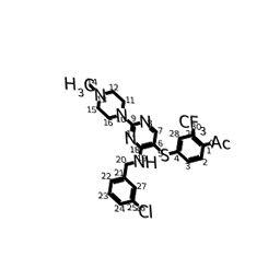 CC(=O)c1ccc(Sc2cnc(N3CCN(C)CC3)nc2NCc2cccc(Cl)c2)cc1C(F)(F)F